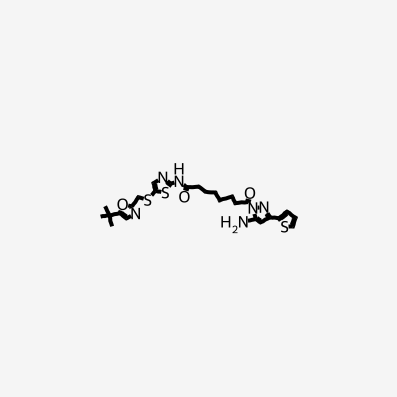 CC(C)(C)c1cnc(CSc2cnc(NC(=O)CCCCCCC(=O)n3nc(-c4cccs4)cc3N)s2)o1